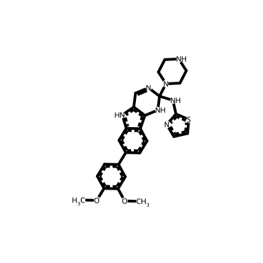 COc1ccc(-c2ccc3c4c([nH]c3c2)C=NC(Nc2nccs2)(N2CCNCC2)N4)cc1OC